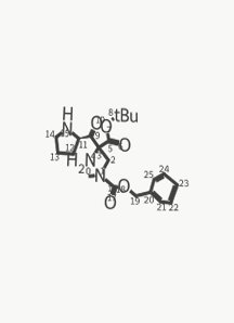 CN(CC(N)(C(=O)OC(C)(C)C)C(=O)[C@H]1CCCN1)C(=O)OCc1ccccc1